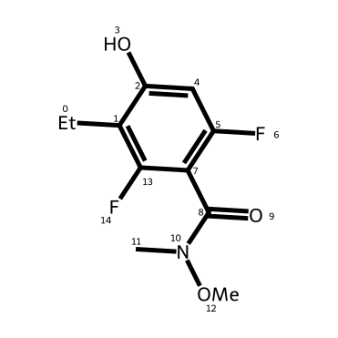 CCc1c(O)cc(F)c(C(=O)N(C)OC)c1F